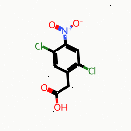 O=C(O)Cc1cc(Cl)c([N+](=O)[O-])cc1Cl